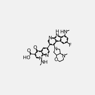 CNc1cc(F)cc2c1[nH]c1ncc(-c3cnc4c(c3)c(=O)c(C(=O)O)cn4NC)c(N3CC4OCCN(C)C4C3)c12